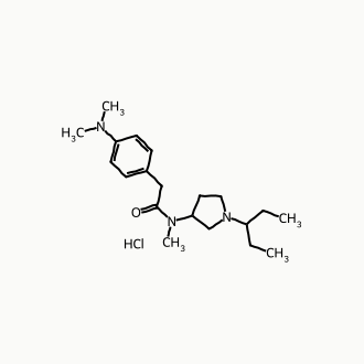 CCC(CC)N1CCC(N(C)C(=O)Cc2ccc(N(C)C)cc2)C1.Cl